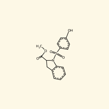 COC(=O)C1Cc2ccccc2N1S(=O)(=O)c1ccc(O)cc1